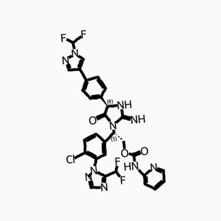 N=C1N[C@H](c2ccc(-c3cnn(C(F)F)c3)cc2)C(=O)N1[C@H](COC(=O)Nc1ccccn1)c1ccc(Cl)c(-n2ncnc2C(F)F)c1